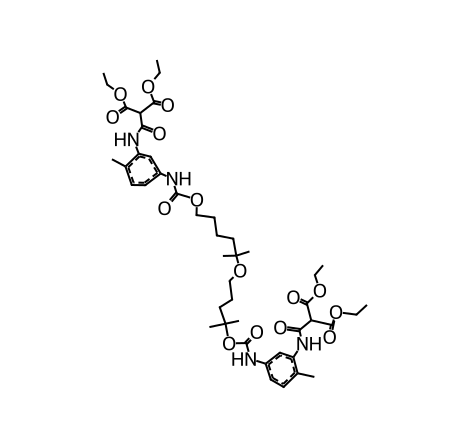 CCOC(=O)C(C(=O)Nc1cc(NC(=O)OCCCCC(C)(C)OCCCC(C)(C)OC(=O)Nc2ccc(C)c(NC(=O)C(C(=O)OCC)C(=O)OCC)c2)ccc1C)C(=O)OCC